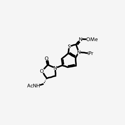 CON=c1sc2cc(N3C[C@H](CNC(C)=O)OC3=O)ccc2n1C(C)C